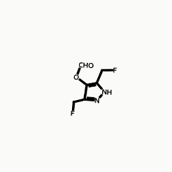 O=COc1c(CF)n[nH]c1CF